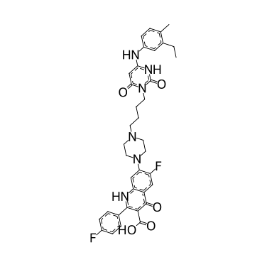 CCc1cc(Nc2cc(=O)n(CCCCN3CCN(c4cc5[nH]c(-c6ccc(F)cc6)c(C(=O)O)c(=O)c5cc4F)CC3)c(=O)[nH]2)ccc1C